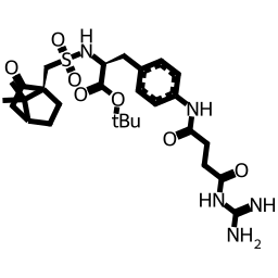 CC(C)(C)OC(=O)[C@H](Cc1ccc(NC(=O)CCC(=O)NC(=N)N)cc1)NS(=O)(=O)C[C@]12CCC(CC1=O)C2(C)C